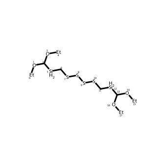 CCOC(OCC)[SiH2]CSSSSC[SiH2]C(OCC)OCC